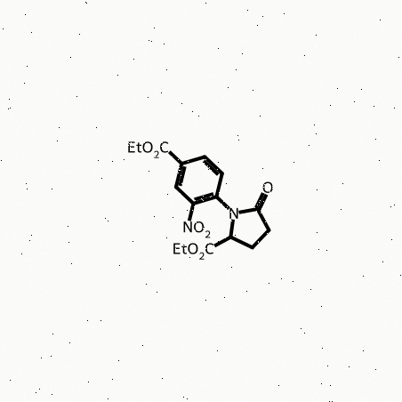 CCOC(=O)c1ccc(N2C(=O)CCC2C(=O)OCC)c([N+](=O)[O-])c1